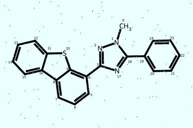 Cn1nc(-c2cccc3c2sc2ccccc23)nc1-c1ccccc1